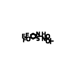 CC(C)(C)OC(=O)NCc1nc2ccc(OC(F)(F)F)cc2s1